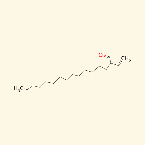 C=CC(C=O)CCCCCCCCCCCCCC